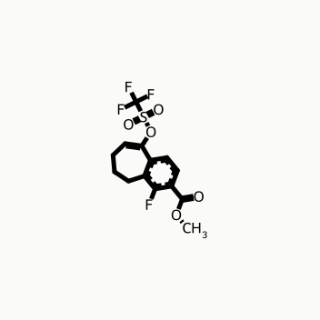 COC(=O)c1ccc2c(c1F)CCCC=C2OS(=O)(=O)C(F)(F)F